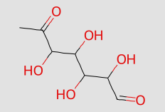 CC(=O)C(O)C(O)C(O)C(O)C=O